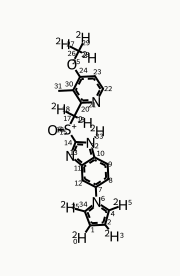 [2H]c1c([2H])c([2H])n(-c2ccc3c(c2)nc([S+]([O-])C([2H])([2H])c2nccc(OC([2H])([2H])[2H])c2C)n3[2H])c1[2H]